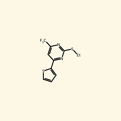 CCSc1nc(-c2cccs2)cc(C(F)(F)F)n1